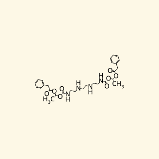 C[C@@H](OC(=O)Cc1ccccc1)OC(=O)NCCNCCNCCNC(=O)O[C@@H](C)OC(=O)Cc1ccccc1